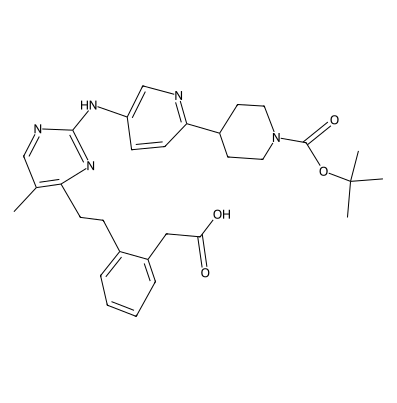 Cc1cnc(Nc2ccc(C3CCN(C(=O)OC(C)(C)C)CC3)nc2)nc1CCc1ccccc1CC(=O)O